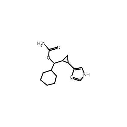 NC(=O)OC(C1CCCCC1)C1CC1c1c[nH]cn1